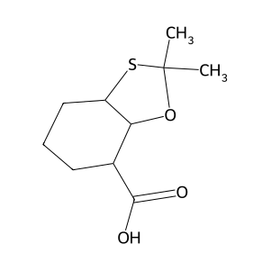 CC1(C)OC2C(CCCC2C(=O)O)S1